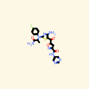 CC(C(N)=O)N(c1ccc(F)cc1)c1nc(N)c(C(=O)c2cc(C(=O)Nc3cncnc3)no2)s1